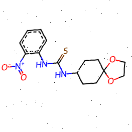 O=[N+]([O-])c1ccccc1NC(=S)NC1CCC2(CC1)OCCO2